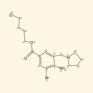 Nc1c(Br)cc(C(=O)OCCCCCl)cc1CN1CCCC1